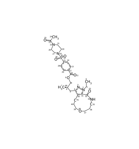 CCn1nc(C[C@@H](C)COC(=O)c2ccc(S(=O)(=O)N3CCN(C(C)=O)CC3)cc2)c2c1C(=O)NCCCOCCC2